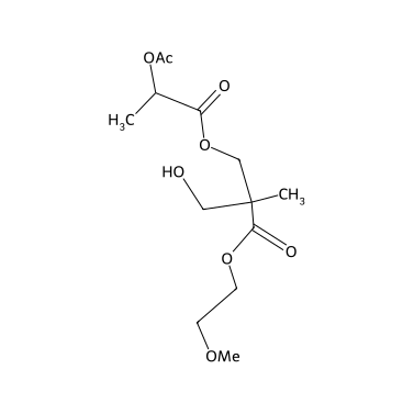 COCCOC(=O)C(C)(CO)COC(=O)C(C)OC(C)=O